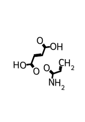 C=CC(N)=O.O=C(O)/C=C/C(=O)O